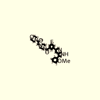 COc1ccccc1-c1c[nH]c2ncc(-c3cc(F)cc(C(=O)N4CCN(CC(=O)N5CCOCC5)CC4)c3)cc12